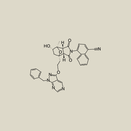 C[C@]12O[C@](CCOc3nn(Cc4ccccc4)c4ncncc34)(C[C@@H]1O)[C@H]1C(=O)N(c3ccc(C#N)c4ccccc34)C(=O)[C@H]12